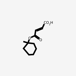 CC1(OC(=O)/C=C/C(=O)O)CCCCC1